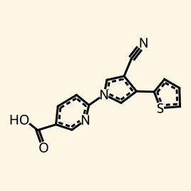 N#Cc1cn(-c2ccc(C(=O)O)cn2)cc1-c1cccs1